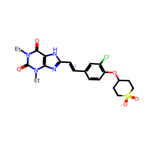 CCn1c(=O)c2[nH]c(/C=C/c3ccc(OC4CCS(=O)(=O)CC4)c(Cl)c3)nc2n(CC)c1=O